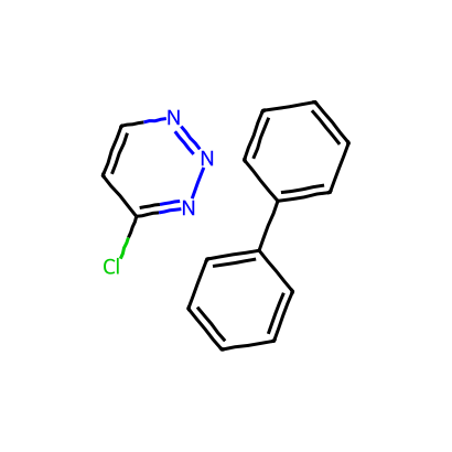 Clc1ccnnn1.c1ccc(-c2ccccc2)cc1